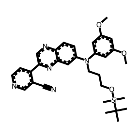 COc1cc(OC)cc(N(CCCO[Si](C)(C)C(C)(C)C)c2ccc3ncc(-c4ccncc4C#N)nc3c2)c1